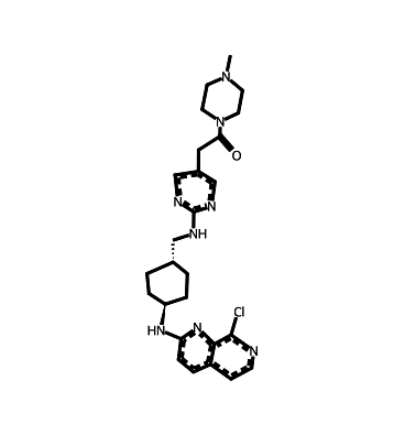 CN1CCN(C(=O)Cc2cnc(NC[C@H]3CC[C@H](Nc4ccc5ccnc(Cl)c5n4)CC3)nc2)CC1